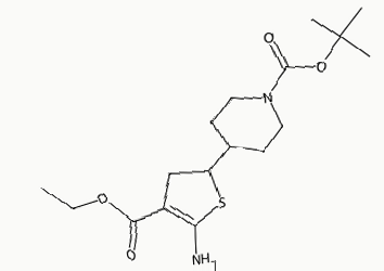 CCOC(=O)C1=C(N)SC(C2CCN(C(=O)OC(C)(C)C)CC2)C1